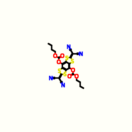 CCCCOC(=O)Oc1c2c(c(OC(=O)OCCCC)c3c1SC(=C(C#N)C#N)S3)SC(=C(C#N)C#N)S2